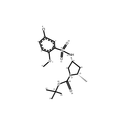 COc1ccc(Cl)cc1S(=O)(=O)N[C@@H]1C[C@H](C)N(C(=O)OC(C)(C)C)C1